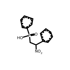 O=[N+]([O-])C(CP(=O)(O)c1ccccc1)c1ccccc1